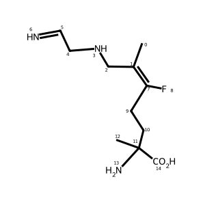 CC(CNCC=N)=C(F)CCC(C)(N)C(=O)O